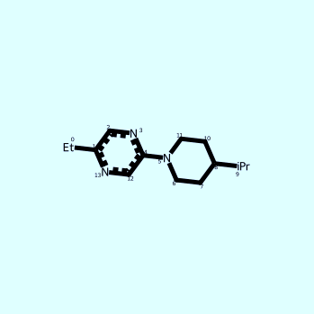 CCc1cnc(N2CCC(C(C)C)CC2)cn1